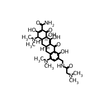 CN(C)CC(=O)NCc1cc(N(C)C)c2c(c1O)C(=O)C1=C(O)[C@]3(O)C(=O)C(C(N)=O)=C(O)C(N(C)C)[C@@H]3C[C@@H]1C2